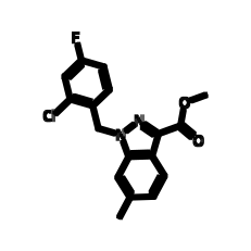 COC(=O)c1nn(Cc2ccc(F)cc2Cl)c2cc(C)ccc12